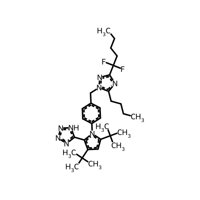 CCCCc1nc(C(F)(F)CCCC)nn1Cc1ccc(-n2c(C(C)(C)C)cc(C(C)(C)C)c2-c2nnn[nH]2)cc1